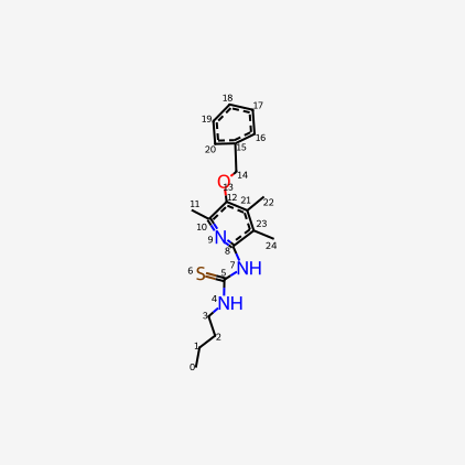 CCCCNC(=S)Nc1nc(C)c(OCc2ccccc2)c(C)c1C